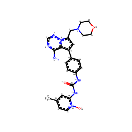 Nc1ncnn2c(CN3CCOCC3)cc(-c3ccc(NC(=O)Nc4cc(C(F)(F)F)cc[n+]4[O-])cc3)c12